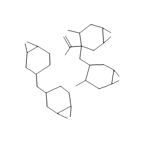 C1CC2OC2CC1CC1CCC2OC2C1.CC1CC2OC2CC1CC1(C(=O)O)CC2OC2CC1C